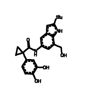 CC(C)(C)c1cc2cc(NC(=O)C3(c4ccc(O)c(O)c4)CC3)cc(CO)c2[nH]1